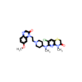 COc1ccc2ncc(=O)n(CCN3CCC(N(C)c4nc5c(cc4Cl)SCC(=O)N5C)CC3)c2c1